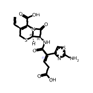 C=CC1=C(C(=O)O)N2C(=O)[C@@H](NC(=O)/C(=C/CC(=O)O)c3csc(N)n3)[C@H]2SC1